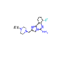 CCN1CCN(Cc2cn3c(N)nc4c(F)cccc4c3n2)CC1